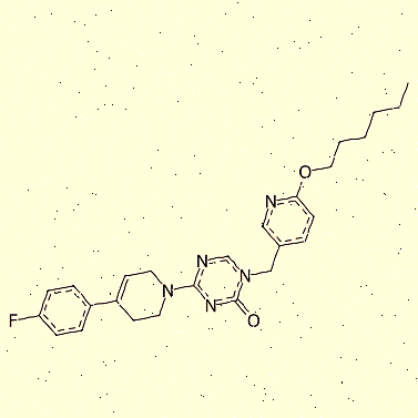 CCCCCCOc1ccc(Cn2cnc(N3CC=C(c4ccc(F)cc4)CC3)nc2=O)cn1